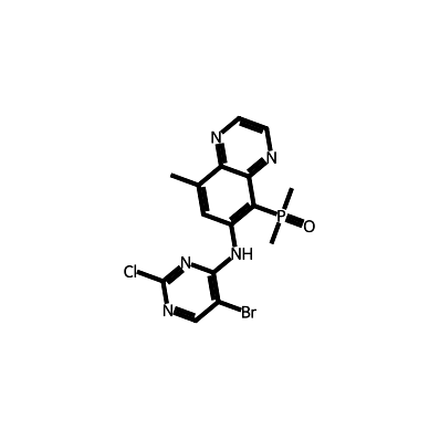 Cc1cc(Nc2nc(Cl)ncc2Br)c(P(C)(C)=O)c2nccnc12